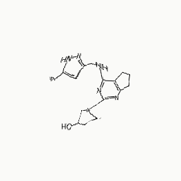 CC(C)c1cc(Nc2nc(N3[CH]CC(O)C3)nc3c2CCC3)n[nH]1